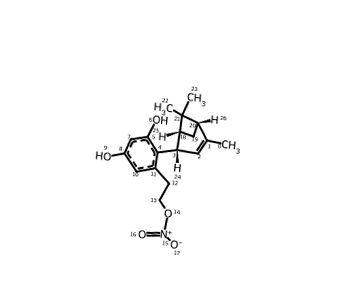 CC1=C[C@H](c2c(O)cc(O)cc2CCO[N+](=O)[O-])[C@H]2C[C@@H]1C2(C)C